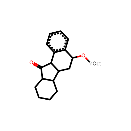 CCCCCCCCOC1CC2C(C(=O)C3CCCCC32)c2ccccc21